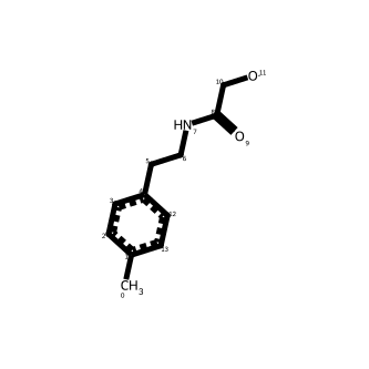 Cc1ccc(CCNC(=O)C[O])cc1